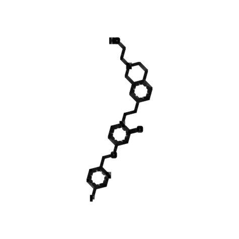 O=c1cc(OCc2ccc(F)cn2)ccn1CCc1ccc2c(c1)CN(CCO)CC2